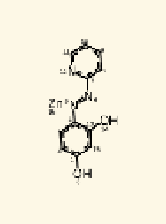 Oc1ccc(N=Nc2ccccn2)c(O)c1.[Zn]